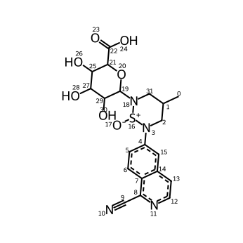 CC1CN(c2ccc3c(C#N)nccc3c2)[S+]([O-])N(C2OC(C(=O)O)C(O)C(O)C2O)C1